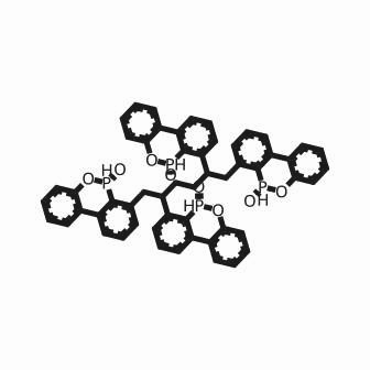 O=[PH]1Oc2ccccc2-c2cccc(CC(CCC(Cc3cccc4c3[PH](=O)Oc3ccccc3-4)c3cccc4c3[PH](=O)Oc3ccccc3-4)c3cccc4c3[PH](=O)Oc3ccccc3-4)c21